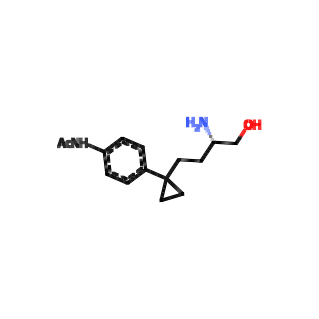 CC(=O)Nc1ccc(C2(CC[C@H](N)CO)CC2)cc1